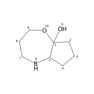 OC12CCCC1BCCCO2